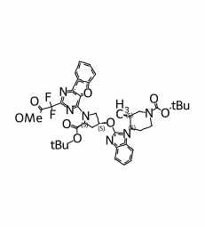 COC(=O)C(F)(F)c1nc(N2C[C@@H](Oc3nc4ccccc4n3[C@H]3CCN(C(=O)OC(C)(C)C)C[C@@H]3C)C[C@H]2C(=O)OC(C)(C)C)c2oc3ccccc3c2n1